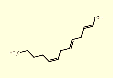 CCCCCCCC/C=C/C/C=C/C/C=C\CCCC(=O)O